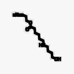 CCCCCCCCCCCOC(=O)CCCCCNCCCCO